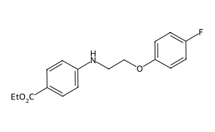 CCOC(=O)c1ccc(NCCOc2ccc(F)cc2)cc1